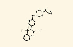 CCCC1(CC)c2ccccc2NC(OC)C1c1ccc(C(=O)N2CCN(C(=O)C3(O)CC3)CC2)c(F)c1